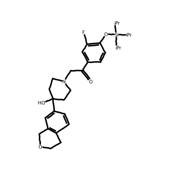 CC(C)[Si](Oc1ccc(C(=O)CN2CCC(O)(c3ccc4c(c3)COCC4)CC2)cc1F)(C(C)C)C(C)C